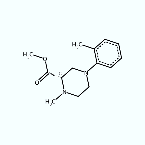 COC(=O)[C@@H]1CN(c2ccccc2C)CCN1C